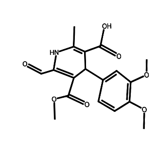 COC(=O)C1=C(C=O)NC(C)=C(C(=O)O)C1c1ccc(OC)c(OC)c1